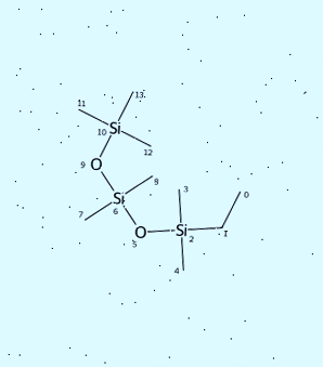 CC[Si](C)(C)O[Si](C)(C)O[Si](C)(C)C